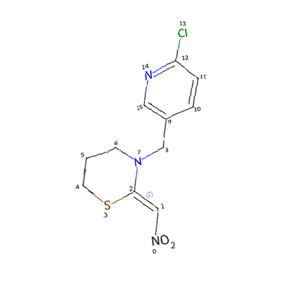 O=[N+]([O-])/C=C1\SCCCN1Cc1ccc(Cl)nc1